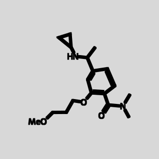 COCCCOc1cc(C(C)NC2CC2)ccc1C(=O)N(C)C